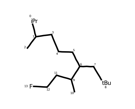 CC(C)C(C)CCCC(CC(C)(C)C)C(C)CCF